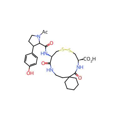 CC(=O)N1CCC(c2ccc(O)cc2)C1C(=O)N[C@H]1CSSC[C@@H](C(=O)O)NC(=O)C2(CCCCC2)CCNC1=O